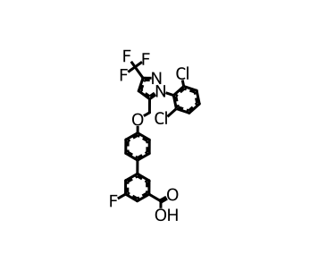 O=C(O)c1cc(F)cc(-c2ccc(OCc3cc(C(F)(F)F)nn3-c3c(Cl)cccc3Cl)cc2)c1